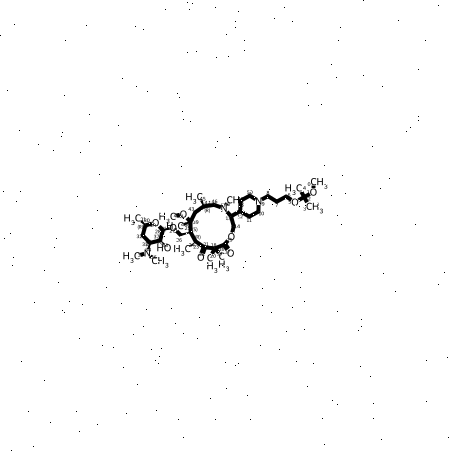 COC(C)(C)OCCCN1CCC(C2COC(=O)C(C)(C)C(=O)[C@H](C)[C@@H](CO[C@@H]3O[C@H](C)C[C@H](N(C)C)[C@H]3O)[C@](C)(OC)C[C@@H](C)CN2C)CC1